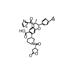 C[C@H](NC(=O)c1nccs1)[C@H](Oc1ccc(C(=O)O)c([C@@H]2CCCN(C(=O)[C@H]3COC(=O)C3)C2)c1)c1ccc(C2CC2)cc1